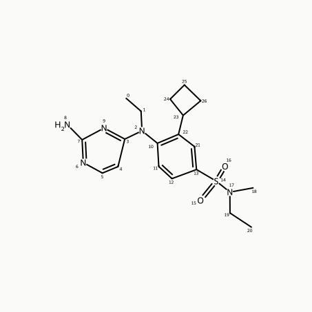 CCN(c1ccnc(N)n1)c1ccc(S(=O)(=O)N(C)CC)cc1C1CCC1